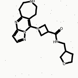 O=C(NCC1CCOC1)C1CN(c2c3c(nc4ccnn24)CCNCC3)C1